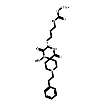 CCCCCCOC(=O)NCCCC[C@@H]1NC(=O)C2(CCN(CCc3ccccc3)CC2)N(CCC)C1=O